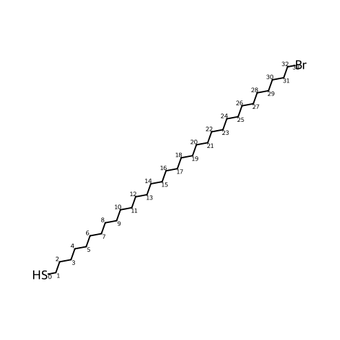 SCCCCCCCCCCCCCCCCCCCCCCCCCCCCCCCCBr